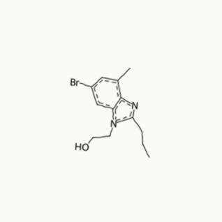 CCCc1nc2c(C)cc(Br)cc2n1CCO